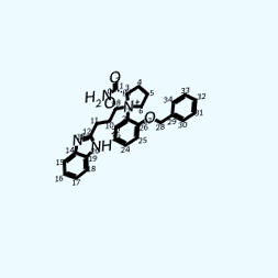 NC(=O)[C@@H]1CCC[N+]1(C(=O)CCc1nc2ccccc2[nH]1)c1ccccc1OCc1ccccc1